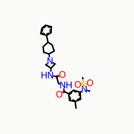 Cc1cc(C(=O)NCC(=O)NC2CN(C3CCC(c4ccccc4)CC3)C2)cc(N(C)S(C)(=O)=O)c1